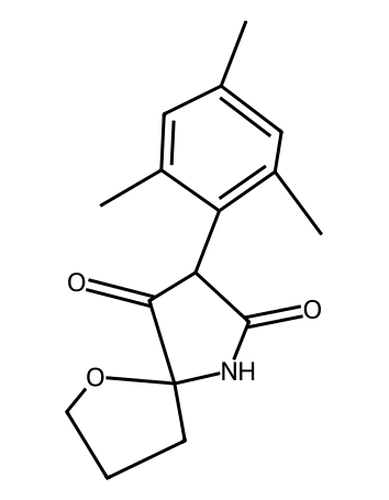 Cc1cc(C)c(C2C(=O)NC3(CCCO3)C2=O)c(C)c1